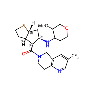 COC1COCCC1N[C@@H]1C[C@H]2SCC[C@H]2[C@@H]1C(=O)N1CCc2ncc(C(F)(F)F)cc2C1